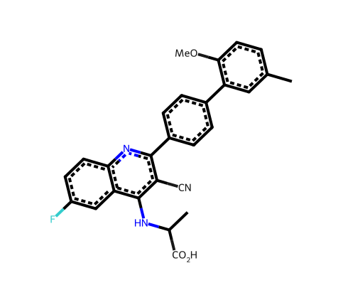 COc1ccc(C)cc1-c1ccc(-c2nc3ccc(F)cc3c(NC(C)C(=O)O)c2C#N)cc1